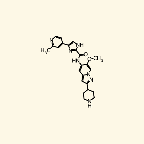 COc1cn2nc(C3CCNCC3)cc2cc1NC(=O)c1nc(-c2ccnc(C)c2)c[nH]1